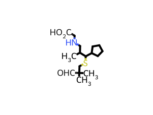 CC(CNCC(=O)O)C(SCC(C)(C)C=O)C1CCCC1